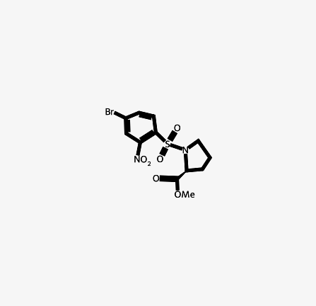 COC(=O)[C@@H]1CCCN1S(=O)(=O)c1ccc(Br)cc1[N+](=O)[O-]